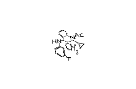 CC(=O)N1c2ccccc2C(Nc2cccc(F)c2)C(C)C1C1CC1